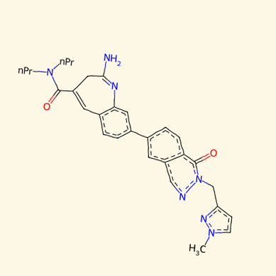 CCCN(CCC)C(=O)C1=Cc2ccc(-c3ccc4c(=O)n(Cc5ccn(C)n5)ncc4c3)cc2N=C(N)C1